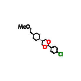 COCC[C@H]1CC[C@H](C2COC(c3ccc(Cl)cc3)OC2)CC1